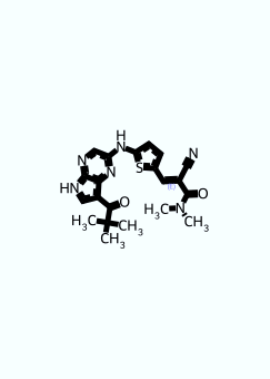 CN(C)C(=O)/C(C#N)=C/c1ccc(Nc2cnc3[nH]cc(C(=O)C(C)(C)C)c3n2)s1